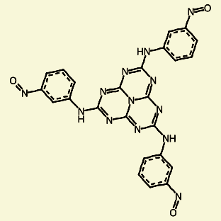 O=Nc1cccc(NC2=NC3=NC(Nc4cccc(N=O)c4)=NC4=NC(Nc5cccc(N=O)c5)=NC(=N2)N34)c1